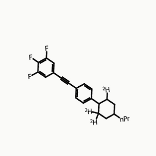 [2H]C1CC(CCC)CC([2H])([2H])C1c1ccc(C#Cc2cc(F)c(F)c(F)c2)cc1